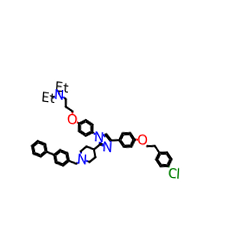 CCN(CC)CCCOc1ccc(-n2cc(-c3ccc(OCCc4ccc(Cl)cc4)cc3)nc2C2CCN(Cc3ccc(-c4ccccc4)cc3)CC2)cc1